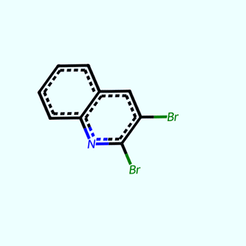 Brc1cc2ccccc2nc1Br